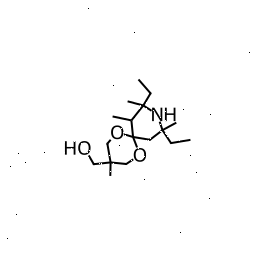 CCC1(C)CC2(OCC(C)(CO)CO2)C(C)C(C)(CC)N1